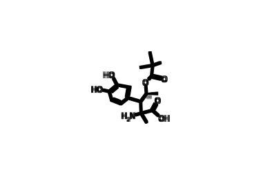 C[C@H](OC(=O)C(C)(C)C)C(c1ccc(O)c(O)c1)C(C)(N)C(=O)O